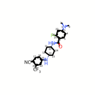 CN(C)c1ccc(C(=O)N[C@H]2CC[C@@H](Nc3ccc(C#N)c(C(F)(F)F)c3)CC2)c(F)c1